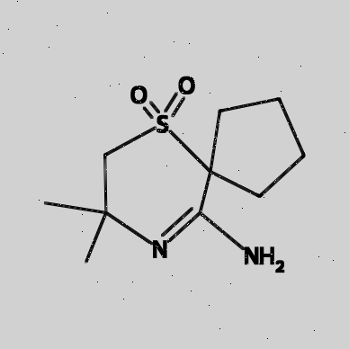 CC1(C)CS(=O)(=O)C2(CCCC2)C(N)=N1